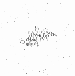 CN[C@H](C(=O)N[C@H](C(=O)N(C)[C@H](CN(CC(=O)C1CCC[C@H]1C(=O)OC)C(C)=O)C(C)C)C(C)(C)C)C(C)(C)c1ccccc1